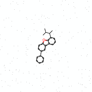 CC(C)C(C)c1cccc2c1oc1ccc(-c3ccccc3)cc12